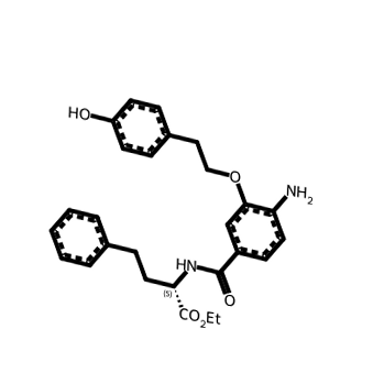 CCOC(=O)[C@H](CCc1ccccc1)NC(=O)c1ccc(N)c(OCCc2ccc(O)cc2)c1